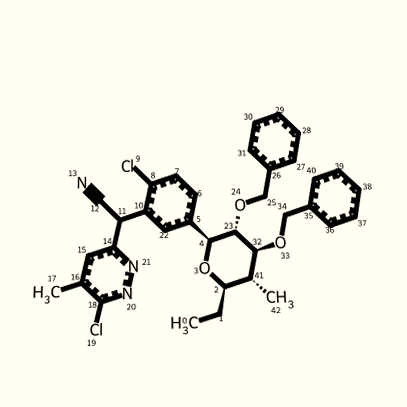 CC[C@H]1O[C@@H](c2ccc(Cl)c(C(C#N)c3cc(C)c(Cl)nn3)c2)[C@H](OCc2ccccc2)[C@@H](OCc2ccccc2)[C@@H]1C